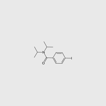 CC(C)N(C(=O)c1ccc(I)cc1)C(C)C